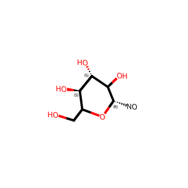 O=N[C@@H]1OC(CO)[C@@H](O)[C@H](O)C1O